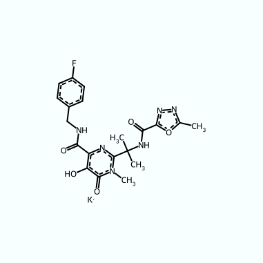 Cc1nnc(C(=O)NC(C)(C)c2nc(C(=O)NCc3ccc(F)cc3)c(O)c(=O)n2C)o1.[K]